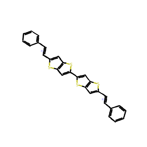 C(=C\c1cc2sc(-c3cc4sc(/C=C/c5ccccc5)cc4s3)cc2s1)/c1ccccc1